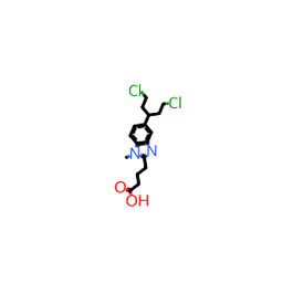 Cn1c(CCCC(=O)O)nc2cc(C(CCCl)CCCl)ccc21